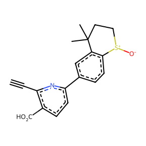 C#Cc1nc(-c2ccc3c(c2)C(C)(C)CC[S+]3[O-])ccc1C(=O)O